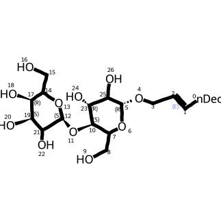 CCCCCCCCCC/C=C/CO[C@@H]1OC(CO)[C@@H](O[C@@H]2OC(CO)[C@H](O)[C@H](O)C2O)[C@H](O)C1O